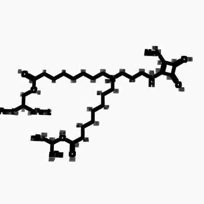 CCCCCC(CCCCC)COC(=O)CCCCCCCN(CCCCCCCC(=O)OC(CCCC)CCCC)CCCNc1c(NC)c(=O)c1=O